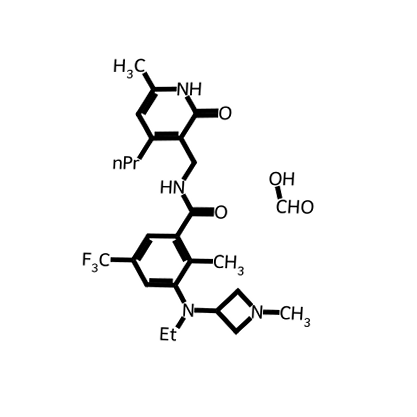 CCCc1cc(C)[nH]c(=O)c1CNC(=O)c1cc(C(F)(F)F)cc(N(CC)C2CN(C)C2)c1C.O=CO